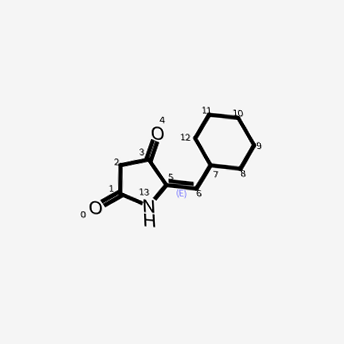 O=C1CC(=O)/C(=C\C2CCCCC2)N1